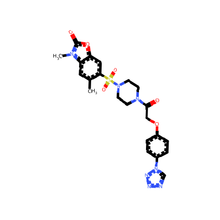 Cc1cc2c(cc1S(=O)(=O)N1CCN(C(=O)COc3ccc(-n4cnnn4)cc3)CC1)oc(=O)n2C